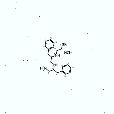 CC(C)(C)CCNC(CNC(CN)Cc1ccccc1)Cc1ccccc1.Cl